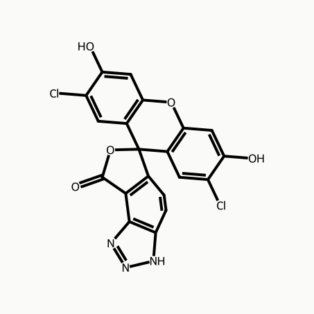 O=C1OC2(c3cc(Cl)c(O)cc3Oc3cc(O)c(Cl)cc32)c2ccc3[nH]nnc3c21